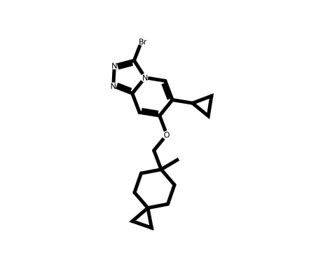 CC1(COc2cc3nnc(Br)n3cc2C2CC2)CCC2(CC1)CC2